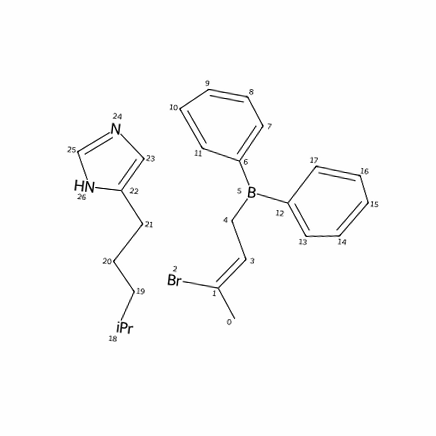 CC(Br)=CCB(c1ccccc1)c1ccccc1.CC(C)CCCc1cnc[nH]1